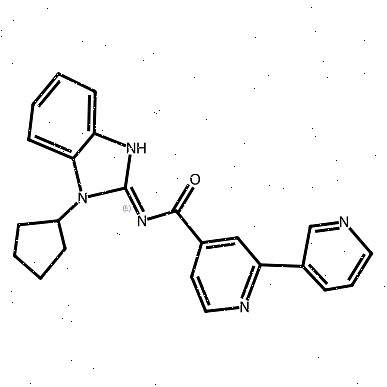 O=C(/N=c1\[nH]c2ccccc2n1C1CCCC1)c1ccnc(-c2cccnc2)c1